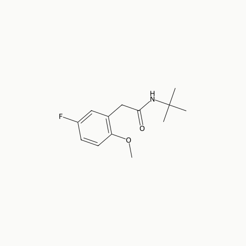 COc1ccc(F)cc1CC(=O)NC(C)(C)C